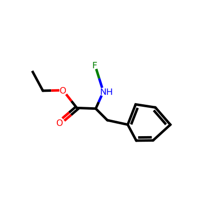 CCOC(=O)C(Cc1ccccc1)NF